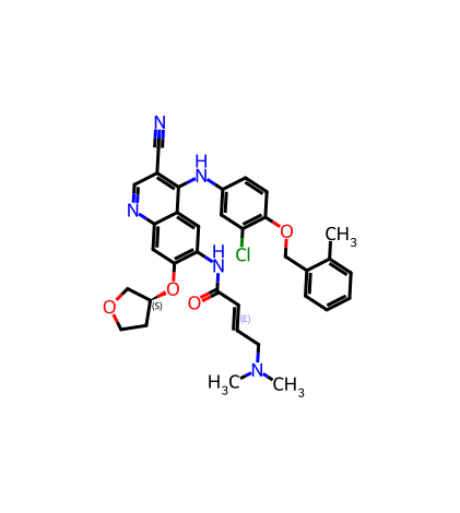 Cc1ccccc1COc1ccc(Nc2c(C#N)cnc3cc(O[C@H]4CCOC4)c(NC(=O)/C=C/CN(C)C)cc23)cc1Cl